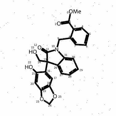 COC(=O)c1ccccc1CN1C(=O)C(CO)(c2cc3c(cc2O)OCO3)c2ccccc21